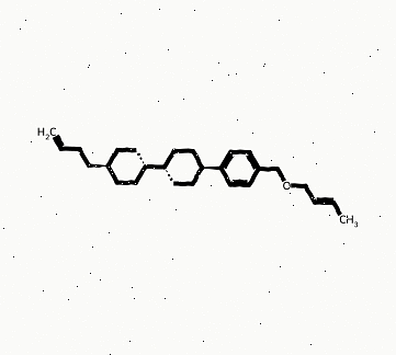 C=CCC[C@H]1CC[C@H]([C@H]2CC[C@H](c3ccc(COCC=CC)cc3)CC2)CC1